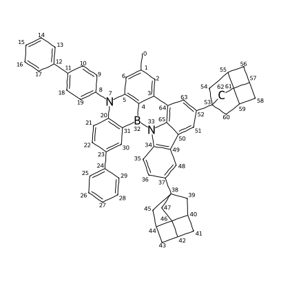 Cc1cc2c3c(c1)N(c1ccc(-c4ccccc4)cc1)c1ccc(-c4ccccc4)cc1B3n1c3ccc(C45CC6CC7CC(C4)C76C5)cc3c3cc(C45CC6CC7CC(C4)C76C5)cc-2c31